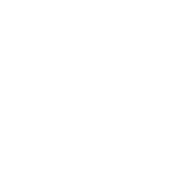 C1=CC(C2C=Cc3ccccc32)C2CCSC2=C1